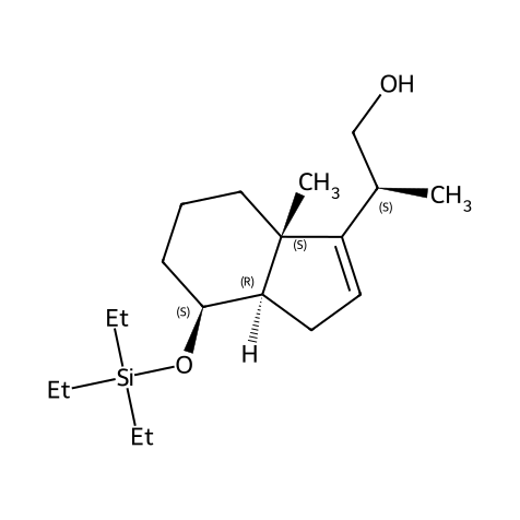 CC[Si](CC)(CC)O[C@H]1CCC[C@]2(C)C([C@H](C)CO)=CC[C@@H]12